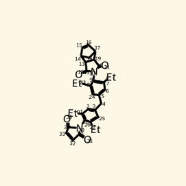 CCc1cc(Cc2cc(CC)c(N3C(=O)C4C5C=CC(C5)C4C3=O)c(CC)c2)cc(CC)c1N1C(=O)C=CC1=O